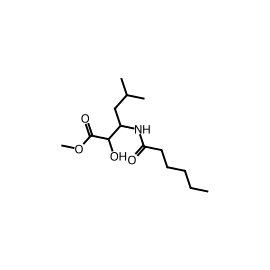 CCCCCC(=O)NC(CC(C)C)C(O)C(=O)OC